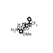 COc1ccc(C(N)=O)c2oc(-c3c(C)[nH]c4c(-c5ccccc5)c(C(F)(F)F)nn4c3=O)nc12